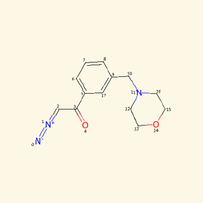 [N-]=[N+]=CC(=O)c1cccc(CN2CCOCC2)c1